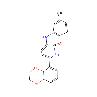 O=Cc1cccc(Nc2ccc(-c3cccc4c3OCCO4)[nH]c2=O)c1